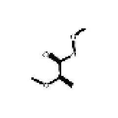 C=C(OC)C(=O)OOC